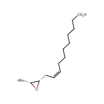 CCCC[C@H]1O[C@H]1C/C=C\CCCCCCCC(=O)O